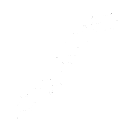 CC(C)(NC(=O)CN1CC2CN(CCN(CCOc3ccc(C#N)cc3)C(N)=O)CC(C1)O2)c1ccccc1